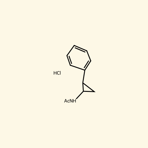 CC(=O)NC1CC1c1ccccc1.Cl